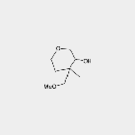 COCC1(C)CCOCC1O